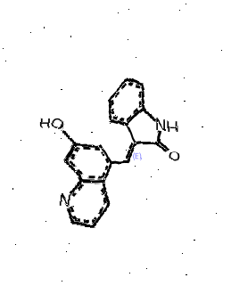 O=C1Nc2ccccc2/C1=C\c1cc(O)cc2ncccc12